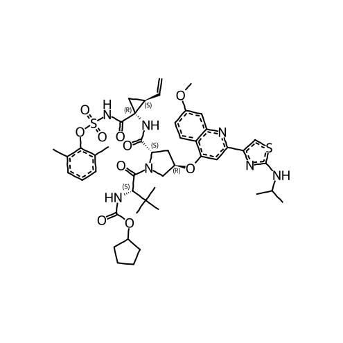 C=C[C@@H]1C[C@]1(NC(=O)[C@@H]1C[C@@H](Oc2cc(-c3csc(NC(C)C)n3)nc3cc(OC)ccc23)CN1C(=O)[C@@H](NC(=O)OC1CCCC1)C(C)(C)C)C(=O)NS(=O)(=O)Oc1c(C)cccc1C